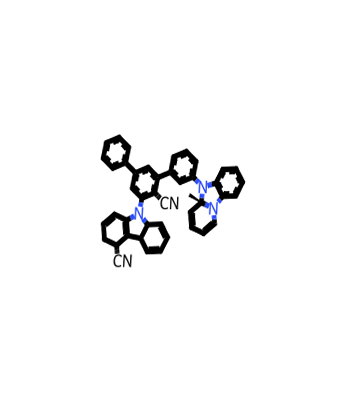 C[C@]12C=CC=CN1c1ccccc1N2c1cccc(-c2cc(-c3ccccc3)cc(N3C4=C(C(C#N)CC=C4)C4C=CC=CC43)c2C#N)c1